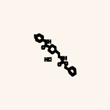 Cl.O=C(NCCC1CCC(C(=O)Nc2ccncc2)CC1)OCc1ccccc1